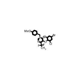 COc1ccc(Cn2cnc(C(C)(F)F)c(Oc3c(Cl)cc(Br)cc3Cl)c2=O)cc1